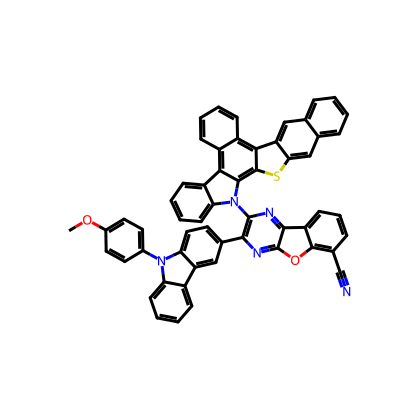 COc1ccc(-n2c3ccccc3c3cc(-c4nc5oc6c(C#N)cccc6c5nc4-n4c5ccccc5c5c6ccccc6c6c7cc8ccccc8cc7sc6c54)ccc32)cc1